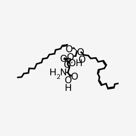 CC/C=C\C/C=C\C/C=C\C/C=C\CCCCC(=O)O[C@H](CO/C=C\CCCCCCCCCCCCCC)COP(=O)(O)OC[C@H](N)C(=O)O